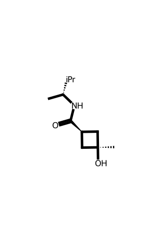 CC(C)[C@@H](C)NC(=O)[C@H]1C[C@@](C)(O)C1